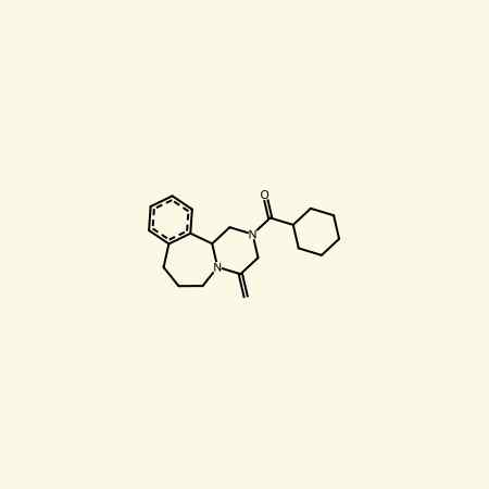 C=C1CN(C(=O)C2CCCCC2)CC2c3ccccc3CCCN12